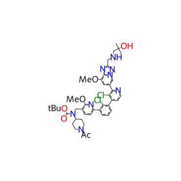 COc1nc(-c2cccc(-c3ccnc(-c4cc(OC)c5nc(CNCC(C)(C)O)nn5c4)c3Cl)c2Cl)ccc1CN(C(=O)OC(C)(C)C)C1CCN(C(C)=O)CC1